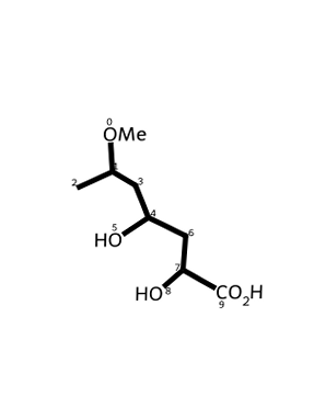 COC(C)CC(O)CC(O)C(=O)O